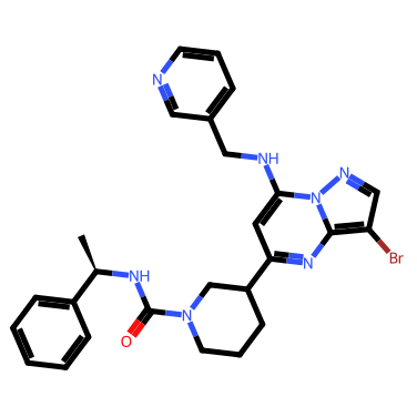 C[C@@H](NC(=O)N1CCCC(c2cc(NCc3cccnc3)n3ncc(Br)c3n2)C1)c1ccccc1